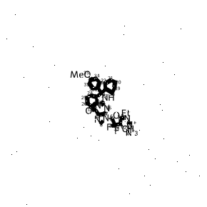 CC[C@@]1(N=[N+]=[N-])O[C@@H](n2cnc3c(=O)[nH]c(NC(c4ccccc4)(c4ccccc4)c4ccc(OC)cc4)nc32)C(F)(F)[C@@H]1C